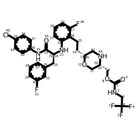 O=C(NCC(F)(F)F)OC[C@@H]1CO[C@H](CCc2c(F)cccc2N[C@@H](Cc2cccc(F)c2)C(=O)Nc2ccc(Cl)cc2)CN1